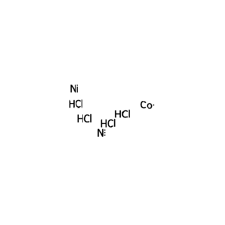 Cl.Cl.Cl.Cl.[Co].[N].[Ni]